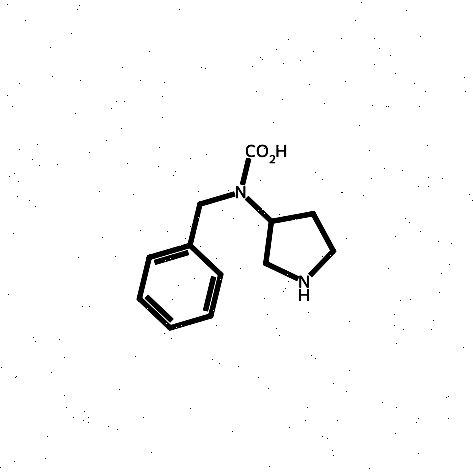 O=C(O)N(Cc1ccccc1)C1CCNC1